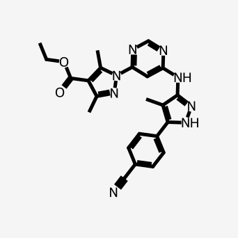 CCOC(=O)c1c(C)nn(-c2cc(Nc3n[nH]c(-c4ccc(C#N)cc4)c3C)ncn2)c1C